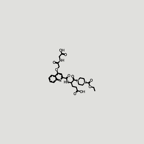 CCOC(=O)N1CCN(C(=O)C(CCC(=O)O)NC(=O)c2cc(OCC(=O)NCC(=O)O)c3ccccc3n2)CC1